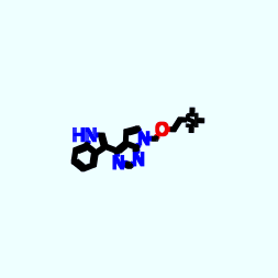 C[Si](C)(C)CCOCn1ccc2c(-c3c[nH]c4ccccc34)ncnc21